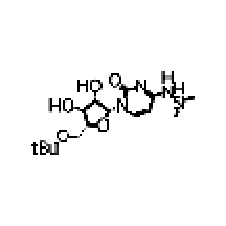 C[SiH](C)Nc1ccn([C@@H]2O[C@H](COC(C)(C)C)[C@@H](O)[C@@H]2O)c(=O)n1